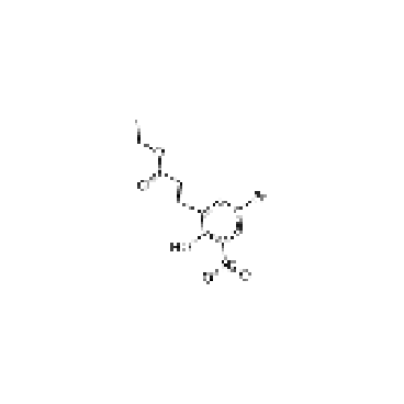 CCOC(=O)/C=C/c1cc(Br)cc([N+](=O)[O-])c1O